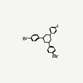 Brc1ccc(C2CC(c3ccc(I)cc3)C[C@H](c3ccc(Br)cc3)C2)cc1